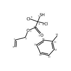 C=CCOC(=O)C(S)(Cl)Cl.Cc1ccccc1